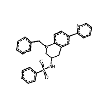 O=S(=O)(NC1Cc2cc(-c3ccccn3)ccc2N(Cc2ccccc2)C1)c1ccccc1